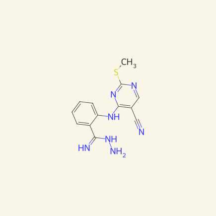 CSc1ncc(C#N)c(Nc2ccccc2C(=N)NN)n1